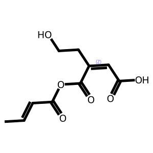 CC=CC(=O)OC(=O)/C(=C\C(=O)O)CCO